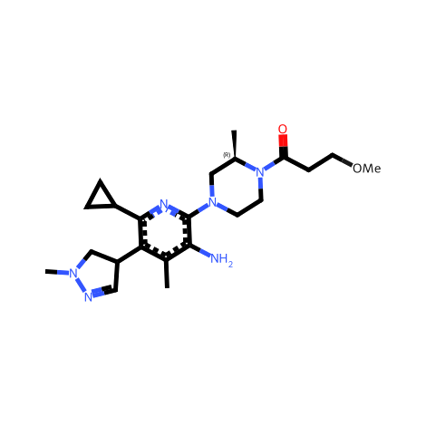 COCCC(=O)N1CCN(c2nc(C3CC3)c(C3C=NN(C)C3)c(C)c2N)C[C@H]1C